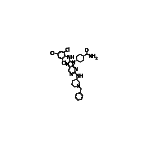 NC(=O)[C@H]1CC[C@H](n2c(Nc3c(Cl)cc(Cl)cc3Cl)nc3cnc(N[C@@H]4CCCN(Cc5ccccc5)C4)nc32)CC1